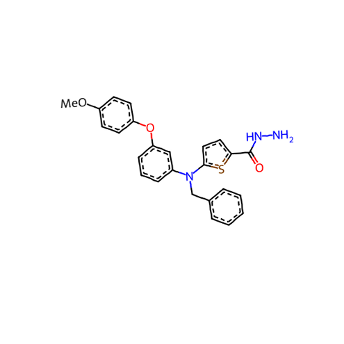 COc1ccc(Oc2cccc(N(Cc3ccccc3)c3ccc(C(=O)NN)s3)c2)cc1